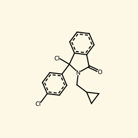 O=C1c2ccccc2C(Cl)(c2ccc(Cl)cc2)N1CC1CC1